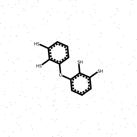 Sc1cccc(Oc2cccc(S)c2S)c1S